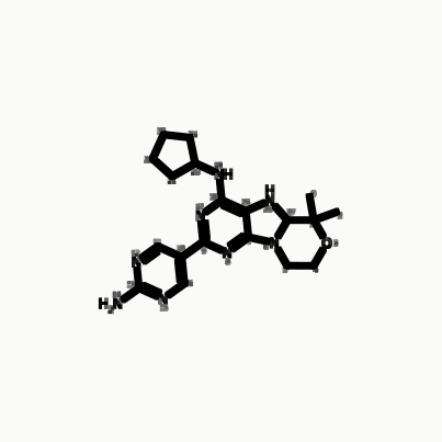 CC1(C)OCCN2c3nc(-c4cnc(N)nc4)nc(NC4CCCC4)c3NC21